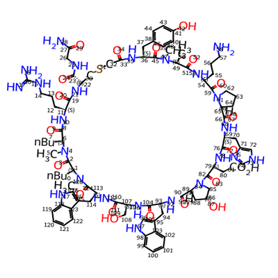 CCCC[C@H]1C(=O)N(C)[C@@H](CCCC)C(=O)N[C@@H](CCCNC(=N)N)C(=O)N[C@H](C(=O)NCC(N)=O)CSCC(=O)N[C@@H](Cc2ccc(O)cc2)C(=O)N(C)[C@@H](C)C(=O)N[C@@H](CCCN)C(=O)N2CCC[C@H]2C(=O)N[C@@H](Cc2c[nH]cn2)C(=O)N[C@@H](CC(=O)O)C(=O)N2C[C@H](O)C[C@H]2C(=O)N[C@@H](Cc2c[nH]c3ccccc23)C(=O)N[C@@H](CO)C(=O)N[C@@H](Cc2c[nH]c3ccccc23)C(=O)N1C